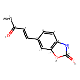 COC(=O)/C=C/c1ccc2[nH]c(=O)oc2c1